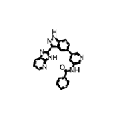 O=C(Nc1cncc(-c2ccc3[nH]nc(-c4nc5cccnc5[nH]4)c3c2)c1)c1ccccc1